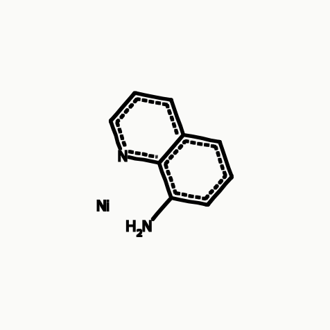 Nc1cccc2cccnc12.[Ni]